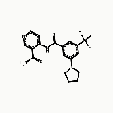 NC(=O)c1cnccc1NC(=O)c1cc(N2CCCC2)cc(C(F)(F)F)c1